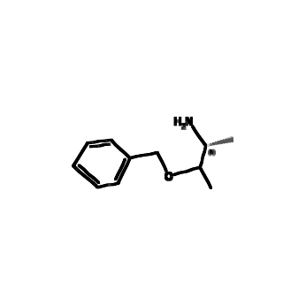 CC(OCc1ccccc1)[C@@H](C)N